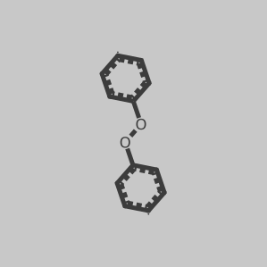 [c]1ccc(OOc2cc[c]cc2)cc1